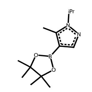 Cc1c(B2OC(C)(C)C(C)(C)O2)cnn1C(C)C